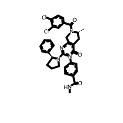 CNC(=O)c1ccc(-n2c(N3CCC[C@H]3c3ccccc3)nc3c(c2=O)C[C@@H](C)N(C(=O)c2ccc(Cl)c(Cl)c2)C3)cc1